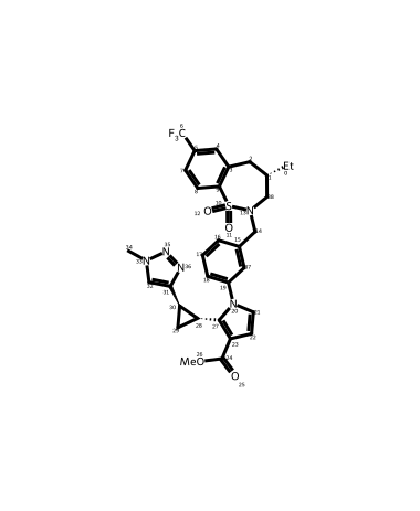 CC[C@H]1Cc2cc(C(F)(F)F)ccc2S(=O)(=O)N(Cc2cccc(-n3ccc(C(=O)OC)c3[C@@H]3C[C@H]3c3cn(C)nn3)c2)C1